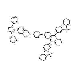 CC1(C)c2ccccc2-c2ccc(-c3c4c(c(-c5ccc6c(c5)C(C)(C)c5ccccc5-6)c5cc(-c6ccc(-c7ccc8cc(-n9c(-c%10ccccc%10)ccc9C9C=CC=CC9)ccc8c7)cc6)ccc35)=CCCC=4)cc21